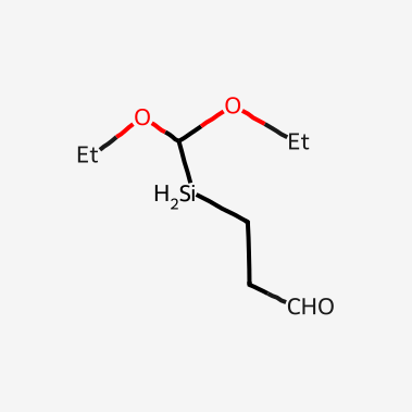 CCOC(OCC)[SiH2]CCC=O